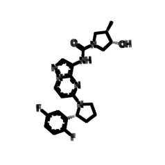 C[C@@H]1CN(C(=O)Nc2cnn3ccc(N4CCC[C@@H]4c4cc(F)ccc4F)nc23)C[C@H]1O